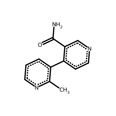 Cc1ncccc1-c1ccncc1C(N)=O